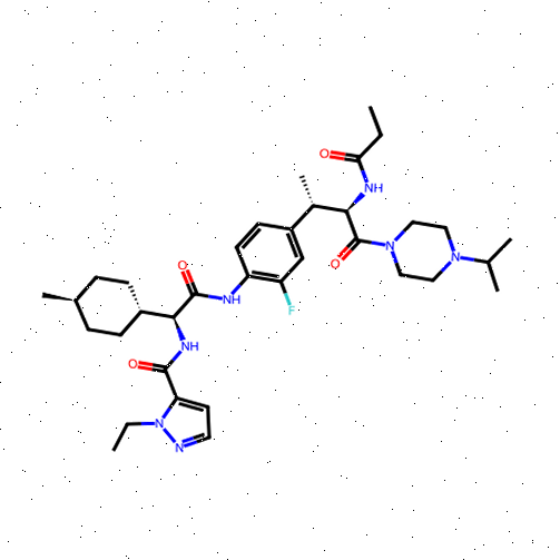 CCC(=O)N[C@@H](C(=O)N1CCN(C(C)C)CC1)[C@@H](C)c1ccc(NC(=O)[C@@H](NC(=O)c2ccnn2CC)[C@H]2CC[C@H](C)CC2)c(F)c1